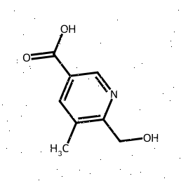 Cc1cc(C(=O)O)cnc1CO